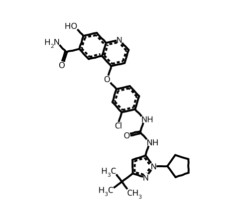 CC(C)(C)c1cc(NC(=O)Nc2ccc(Oc3ccnc4cc(O)c(C(N)=O)cc34)cc2Cl)n(C2CCCC2)n1